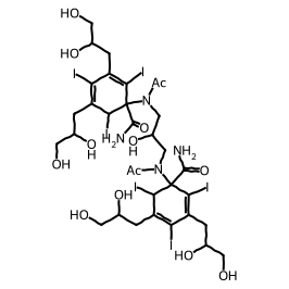 CC(=O)N(CC(O)CN(C(C)=O)C1(C(N)=O)C(I)=C(CC(O)CO)C(I)=C(CC(O)CO)C1I)C1(C(N)=O)C(I)=C(CC(O)CO)C(I)=C(CC(O)CO)C1I